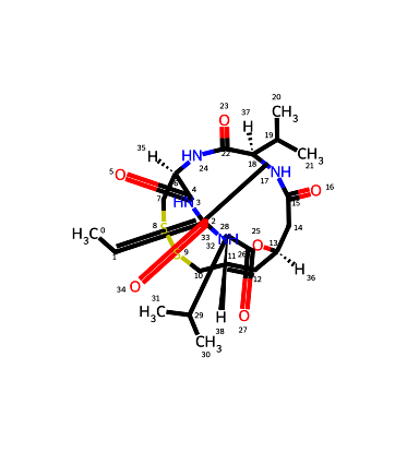 C/C=C1\NC(=O)[C@H]2CSSC/C=C/[C@H](CC(=O)N[C@H](C(C)C)C(=O)N2)OC(=O)[C@H](C(C)C)NC1=O